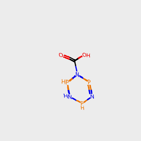 O=C(O)n1pn[pH][nH][pH]1